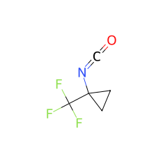 O=C=NC1(C(F)(F)F)CC1